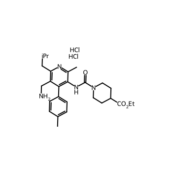 CCOC(=O)C1CCN(C(=O)Nc2c(C)nc(CC(C)C)c(CN)c2-c2ccc(C)cc2)CC1.Cl.Cl